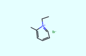 CC[n+]1ccccc1C.[Br-]